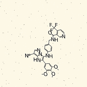 COc1cc(-c2[nH]c3c(C#N)cnn3c2Nc2ccc(CNC(=O)c3cnccc3C(F)(F)F)cc2)cc(OC)c1OC